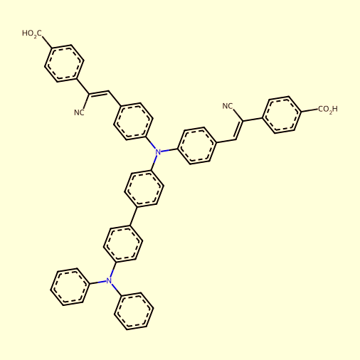 N#C/C(=C\c1ccc(N(c2ccc(/C=C(\C#N)c3ccc(C(=O)O)cc3)cc2)c2ccc(-c3ccc(N(c4ccccc4)c4ccccc4)cc3)cc2)cc1)c1ccc(C(=O)O)cc1